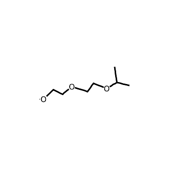 CC(C)OCCOCC[O]